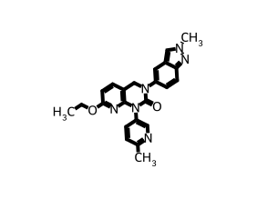 CCOc1ccc2c(n1)N(c1ccc(C)nc1)C(=O)N(c1ccc3nn(C)cc3c1)C2